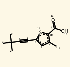 CC(C)(C)C#Cc1cc(I)c(C(=O)O)s1